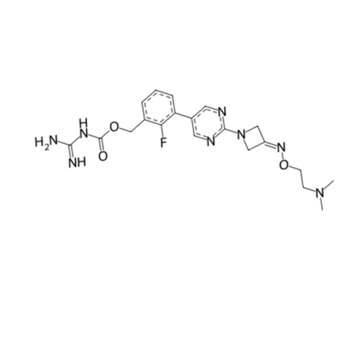 CN(C)CCON=C1CN(c2ncc(-c3cccc(COC(=O)NC(=N)N)c3F)cn2)C1